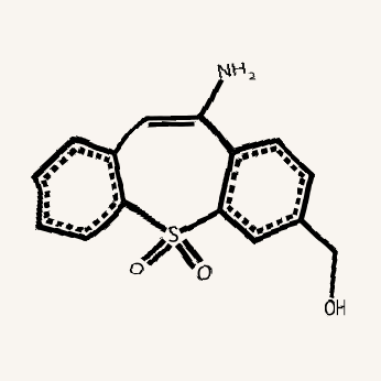 NC1=Cc2ccccc2S(=O)(=O)c2cc(CO)ccc21